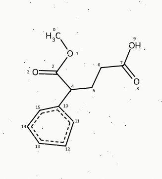 COC(=O)C(CCC(=O)O)c1ccccc1